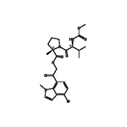 COC(=O)N[C@H](C(=O)N1CCC[C@@]1(C)C(=O)OCC(=O)c1ccc(Br)c2ccn(C)c12)C(C)C